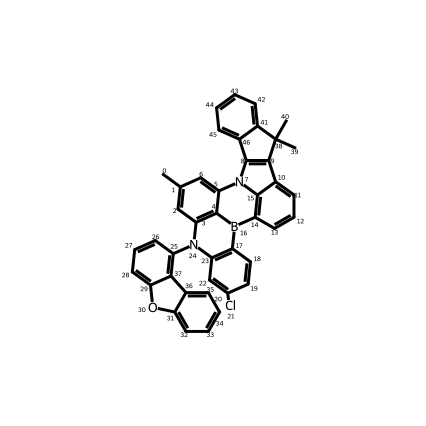 Cc1cc2c3c(c1)-n1c4c(c5cccc(c51)B3c1ccc(Cl)cc1N2c1cccc2oc3ccccc3c12)C(C)(C)c1ccccc1-4